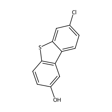 Oc1ccc2sc3cc(Cl)ccc3c2c1